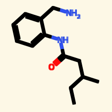 CCC(C)CC(=O)Nc1ccccc1CN